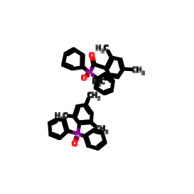 Cc1cc(C)c(C(=O)P(=O)(c2ccccc2)c2ccccc2)c(C)c1.Cc1cc(C)c(P(=O)(c2ccccc2)c2ccccc2)c(C)c1